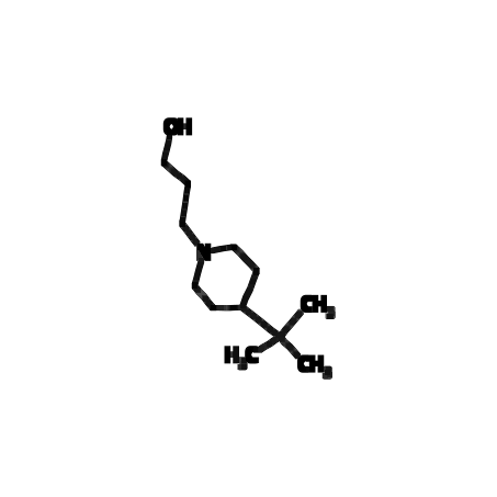 CC(C)(C)C1CCN(CCCO)CC1